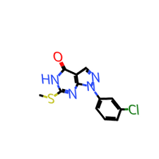 CSc1nc2c(cnn2-c2cccc(Cl)c2)c(=O)[nH]1